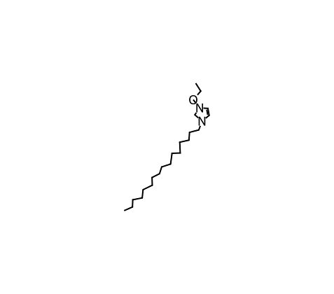 CCCCCCCCCCCCCCCCN1C=CN(OCC)C1